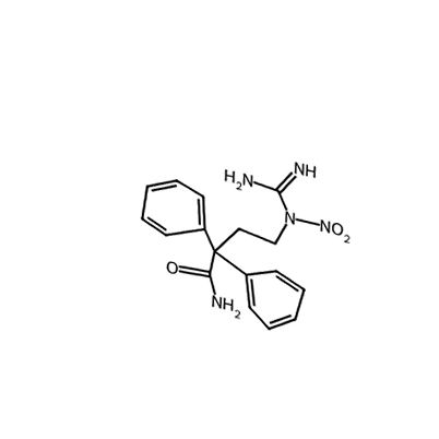 N=C(N)N(CCC(C(N)=O)(c1ccccc1)c1ccccc1)[N+](=O)[O-]